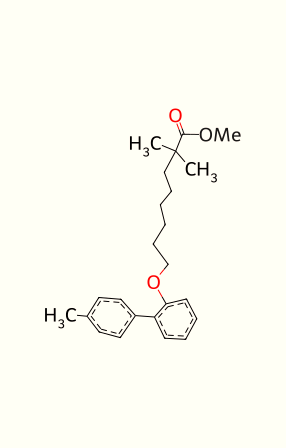 COC(=O)C(C)(C)CCCCCCOc1ccccc1-c1ccc(C)cc1